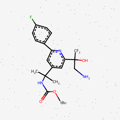 CC(C)(C)OC(=O)NC(C)(C)c1cc(-c2ccc(F)cc2)nc(C(O)(CN)C(F)(F)F)c1